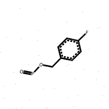 O=POCc1ccc(F)cc1